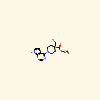 CNC(=O)C1(CN)CCN(c2ncnc3[nH]ccc23)CC1